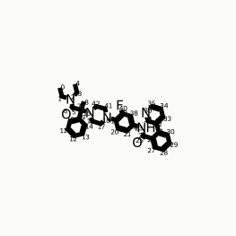 CCN(CC)C(=O)C(C)(c1ccccc1)N1CCN(c2ccc(NC(=O)c3ccccc3-c3cccnc3)cc2F)CC1